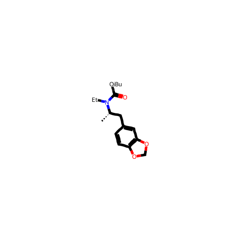 CCN(C(=O)OCC(C)C)[C@@H](C)Cc1ccc2c(c1)OCO2